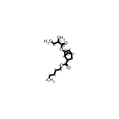 CCCCCOC(=O)C1CC2CC(OC(=O)C(C)CC)C1C2